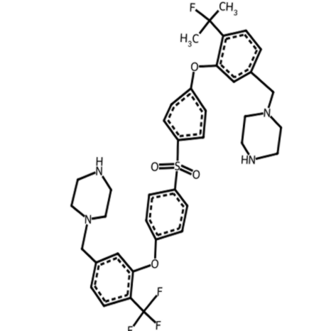 CC(C)(F)c1ccc(CN2CCNCC2)cc1Oc1ccc(S(=O)(=O)c2ccc(Oc3cc(CN4CCNCC4)ccc3C(F)(F)F)cc2)cc1